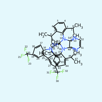 CC(C)c1cccc(C(C)C)c1-n1c(=Nn2c3ccc(C(F)(F)F)cc3c3cc(C(F)(F)F)ccc32)n(-c2c(C(C)C)cccc2C(C)C)c2nccnc21